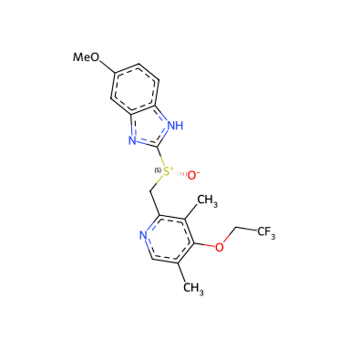 COc1ccc2[nH]c([S@+]([O-])Cc3ncc(C)c(OCC(F)(F)F)c3C)nc2c1